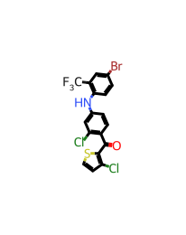 O=C(c1ccc(Nc2ccc(Br)cc2C(F)(F)F)cc1Cl)c1sccc1Cl